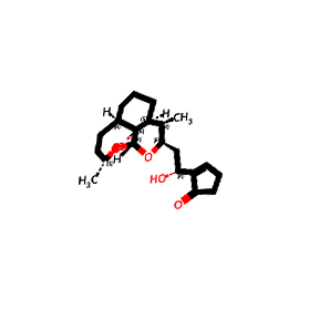 C[C@H]1[C@@H](C[C@@H](O)C2=CCCC2=O)O[C@@H]2O[C@]3(C)CC[C@H]4CCC[C@@H]1[C@]42OO3